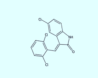 O=C1Nc2ccc(Cl)cc2/C1=C\c1c(Cl)cccc1Cl